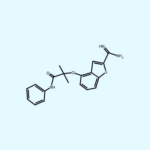 CC(C)(Oc1cccc2sc(C(=N)N)cc12)C(=O)Nc1ccccc1